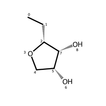 CC[C@H]1OC[C@@H](O)[C@H]1O